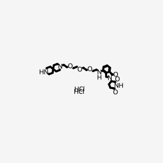 Cl.Cl.O=C1CCC(N2Cc3c(NCCOCCOCCOCCN4CCC5(CCNCC5)CC4)cccc3C2=O)C(=O)N1